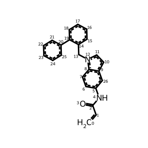 C=CC(=O)Nc1ccc2c(ccn2Cc2ccccc2-c2ccccc2)c1